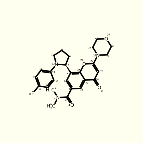 CN(C)C(=O)c1cc([C@@H]2CCCN2c2ccc(F)cc2)c2oc(N3CCOCC3)cc(=O)c2c1